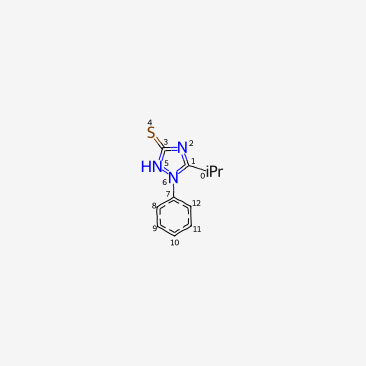 CC(C)c1nc(=S)[nH]n1-c1ccccc1